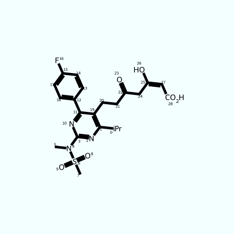 CC(C)c1nc(N(C)S(C)(=O)=O)nc(-c2ccc(F)cc2)c1CCC(=O)C/C(O)=C\C(=O)O